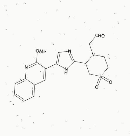 COc1nc2ccccc2cc1-c1cnc(C2CS(=O)(=O)CCN2CC=O)[nH]1